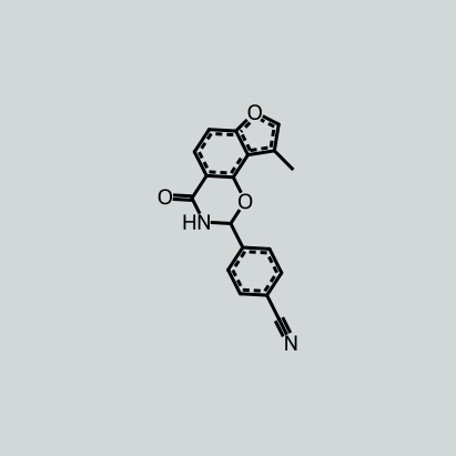 Cc1coc2ccc3c(c12)OC(c1ccc(C#N)cc1)NC3=O